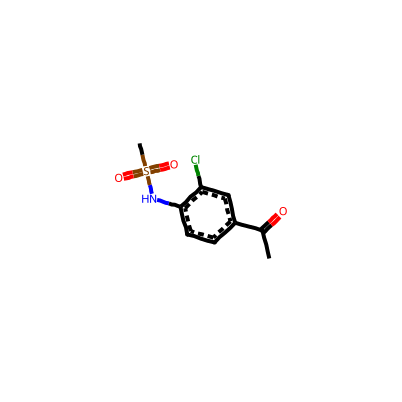 CC(=O)c1ccc(NS(C)(=O)=O)c(Cl)c1